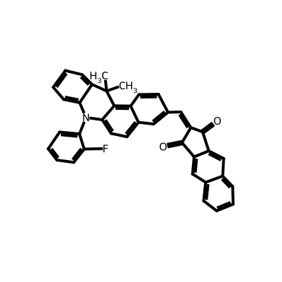 CC1(C)c2ccccc2N(c2ccccc2F)c2ccc3cc(C=C4C(=O)c5cc6ccccc6cc5C4=O)ccc3c21